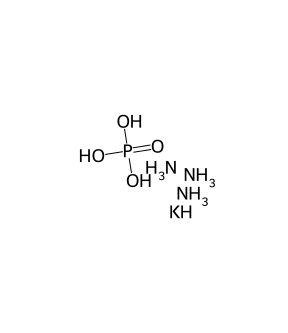 N.N.N.O=P(O)(O)O.[KH]